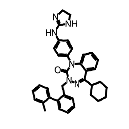 Cc1ccccc1-c1ccccc1CN1N=C(C2CCCCC2)c2ccccc2N(c2ccc(NC3=NCCN3)cc2)C1=O